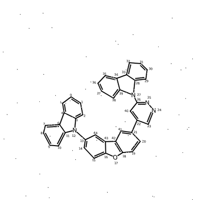 c1ccc2c(c1)c1ccccc1n2-c1ccc2oc3ccc(-c4cnnc(-n5c6ccccc6c6ccccc65)c4)cc3c2c1